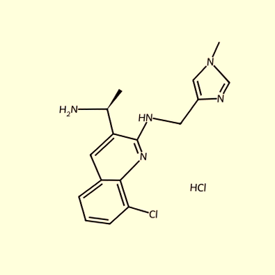 C[C@H](N)c1cc2cccc(Cl)c2nc1NCc1cn(C)cn1.Cl